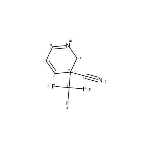 N#CC1(C(F)(F)F)C=CC=NC1